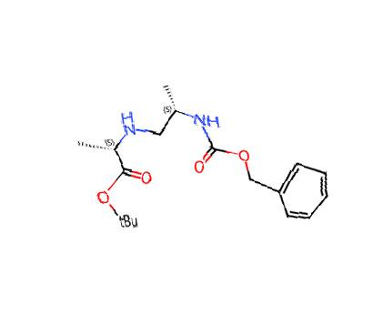 C[C@H](NC[C@H](C)NC(=O)OCc1ccccc1)C(=O)OC(C)(C)C